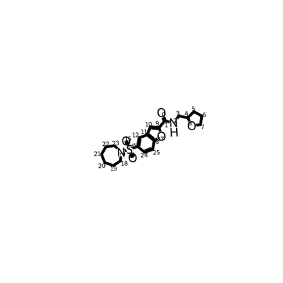 O=C(NCC1CCCO1)c1cc2cc(S(=O)(=O)N3CCCCCC3)ccc2o1